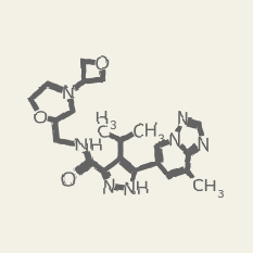 Cc1cc(-c2[nH]nc(C(=O)NCC3CN(C4COC4)CCO3)c2C(C)C)cn2ncnc12